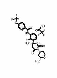 C[C@@H]1C[C@H](N2C(=N)N[C@](C)(c3cccc(NC(=O)c4ccc(OC(F)(F)F)cn4)c3Cl)CC2=O)CCO1.O=C(O)C(F)(F)F